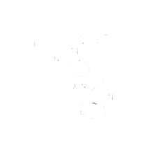 Cc1ccc(C(=O)Nc2ccc(N(C)C(=O)OC(C)(C)C)c(N3CCC(F)(F)CC3)c2)c(N2CCC3(CC2)CC3)c1